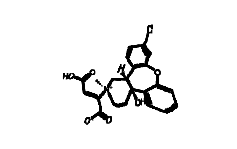 C[N@@+]1(/C(=C\C(=O)O)C(=O)[O-])CC[C@@]2(O)c3ccccc3Oc3cc(Cl)ccc3[C@H]2C1